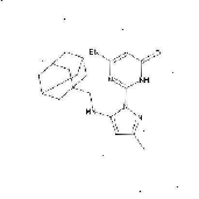 CCc1cc(=O)[nH]c(-n2nc(C)cc2NCC23CC4CC(CC(C4)C2)C3)n1